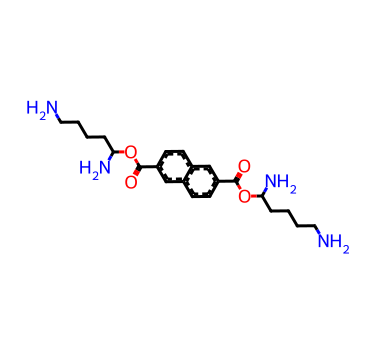 NCCCCC(N)OC(=O)c1ccc2cc(C(=O)OC(N)CCCCN)ccc2c1